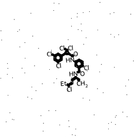 C=C/C(=C\C=C(\Cl)CC)NC(=O)c1cc(NC(=O)C2C(c3cc(Cl)cc(Cl)c3)C2(Cl)Cl)ccc1Cl